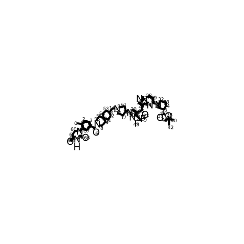 Cc1ccc(C(=O)N2CCC3(CCC(CN4CCC(n5cc(C(=O)c6cnn7ccc(N8CCC[C@H](C(=O)OC(C)(C)C)C8)nc67)c(C(F)F)n5)CC4)CC3)CC2)cc1N1CCC(=O)NC1=O